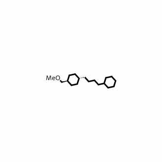 COC[C@H]1CC[C@H](CCCCC2CCCCC2)CC1